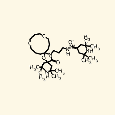 CC1(C)CC(=[N+]([O-])NCCCN2C(=O)C3(CC(C)(C)NC(C)(C)C3)OC23CCCCCCCCCCC3)CC(C)(C)N1